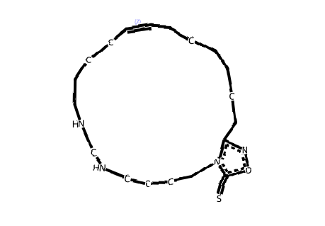 S=c1onc2n1CCCCNCNCCCC/C=C\CCCCCC2